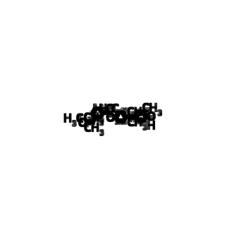 COC(C)(C)Cc1cccc(C(=O)Oc2ccc(C(C)(C)c3ccc(O)c(C)c3)cc2C)c1